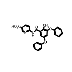 Cc1c(Oc2ccccc2)cc(Oc2ccccc2)cc1C(=O)Nc1ccc(C(=O)O)cn1